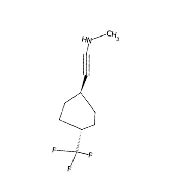 CNC#C[C@H]1CC[C@H](C(F)(F)F)CC1